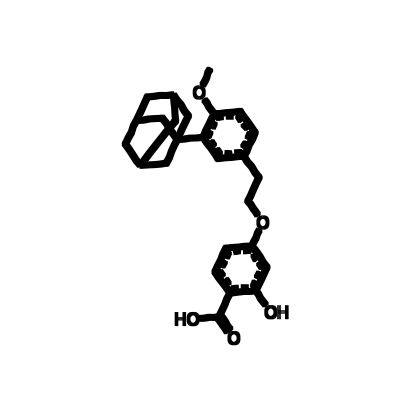 COc1ccc(CCOc2ccc(C(=O)O)c(O)c2)cc1C12CC3CC(CC(C3)C1)C2